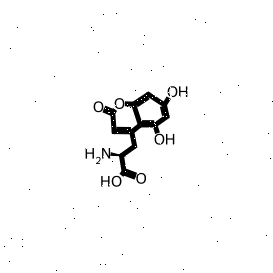 N[C@@H](Cc1cc(=O)oc2cc(O)cc(O)c12)C(=O)O